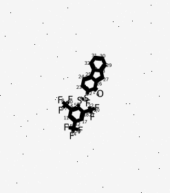 O=C1C(SSc2c(C(F)(F)F)cc(C(F)(F)F)cc2C(F)(F)F)=CC=C2C1=Cc1ccccc12